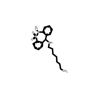 CCCCCCCCNC1c2ccccc2N(C)S(=O)(=O)c2ccccc21